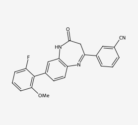 COc1cccc(F)c1-c1ccc2c(c1)NC(=O)CC(c1cccc(C#N)c1)=N2